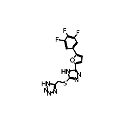 Fc1cc(-c2ccc(-c3nnc(SCc4nnn[nH]4)[nH]3)o2)cc(F)c1F